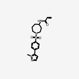 C=CC(=O)NC1CCCN(S(=O)(=O)c2ccc(-c3ccnn3C)cc2)CC1